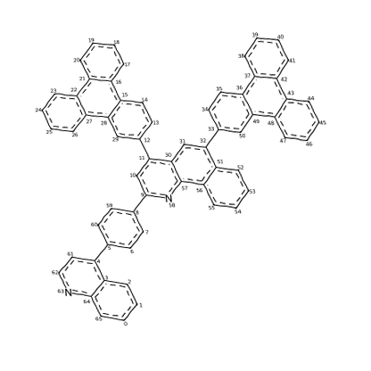 c1ccc2c(-c3ccc(-c4cc(-c5ccc6c7ccccc7c7ccccc7c6c5)c5cc(-c6ccc7c8ccccc8c8ccccc8c7c6)c6ccccc6c5n4)cc3)ccnc2c1